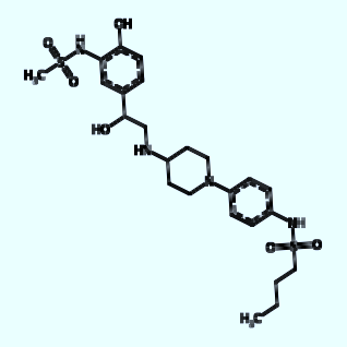 CCCCS(=O)(=O)Nc1ccc(N2CCC(NCC(O)c3ccc(O)c(NS(C)(=O)=O)c3)CC2)cc1